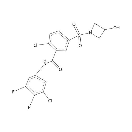 O=C(Nc1cc(F)c(F)c(Cl)c1)c1cc(S(=O)(=O)N2CC(O)C2)ccc1Cl